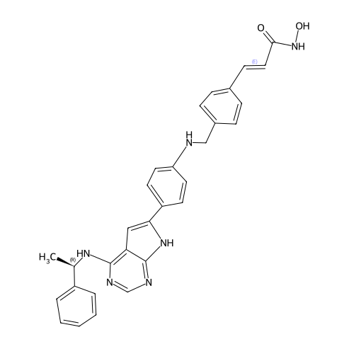 C[C@@H](Nc1ncnc2[nH]c(-c3ccc(NCc4ccc(/C=C/C(=O)NO)cc4)cc3)cc12)c1ccccc1